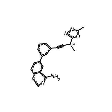 Cc1nnc([C@@H](C)C#Cc2cccc(-c3ccc4ncnc(N)c4c3)c2)o1